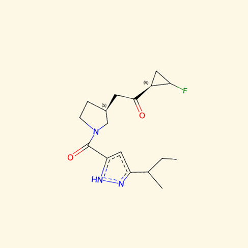 CCC(C)c1cc(C(=O)N2CC[C@@H](CC(=O)[C@H]3CC3F)C2)[nH]n1